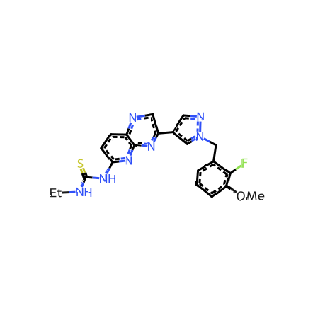 CCNC(=S)Nc1ccc2ncc(-c3cnn(Cc4cccc(OC)c4F)c3)nc2n1